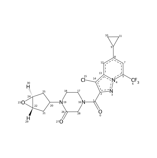 O=C(c1nn2c(C(F)(F)F)cc(C3CC3)cc2c1Cl)N1CCN(C2C[C@@H]3O[C@H]3C2)C(=O)C1